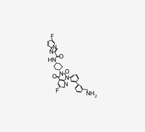 NCc1cccc(-c2cccc(-n3c(=O)n([C@H]4CC[C@@H](NC(=O)c5cn6cc(F)ccc6n5)CC4)c(=O)c4cc(F)cnc43)c2)c1